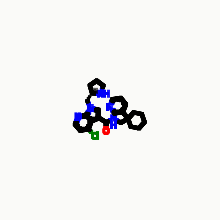 O=C(NCC1(c2cccnc2)CCCCC1)c1cn(C[C@@H]2CCCN2)c2nccc(Cl)c12